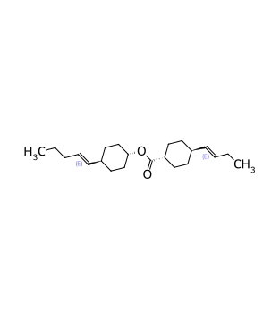 CC/C=C/[C@H]1CC[C@H](C(=O)O[C@H]2CC[C@H](/C=C/CCC)CC2)CC1